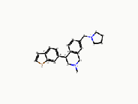 CN1Cc2cc(CN3CCCC3)ccc2C(c2ccc3ccsc3c2)C1